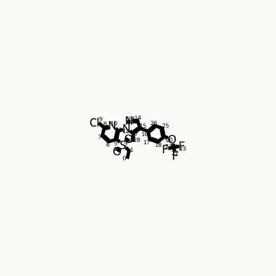 CCS(=O)(=O)c1ccc(Cl)nc1-n1ncc(-c2ccc(OC(F)(F)F)cc2)c1C